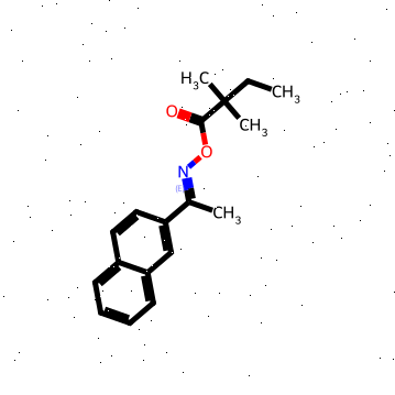 CCC(C)(C)C(=O)O/N=C(\C)c1ccc2ccccc2c1